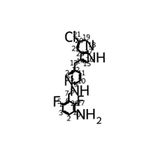 Nc1ccc(F)c(CNc2ccc(Cc3c[nH]c4ncc(Cl)cc34)cn2)c1F